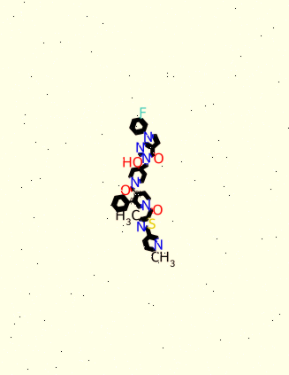 Cc1ccc(-c2nc(C)c(C(=O)N3CC[C@@H](C(=O)N4CCC(O)(Cn5cnc6c(ccn6-c6cccc(F)c6)c5=O)CC4)[C@H](c4ccccc4)C3)s2)cn1